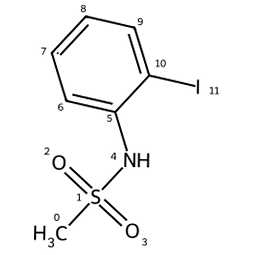 CS(=O)(=O)Nc1c[c]ccc1I